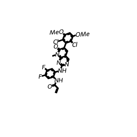 C=CC(=O)Nc1cc(F)c(F)cc1Nc1ncc2cc(-c3c(Cl)c(OC)cc(OC)c3Cl)c(=O)n(C)c2n1